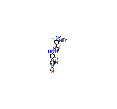 Cc1nc2c(F)cc(-c3nc(Nc4ccc5c(c4)OC[C@H]4CN(C6CCOCC6)CCN54)ncc3F)cc2n1C(C)C